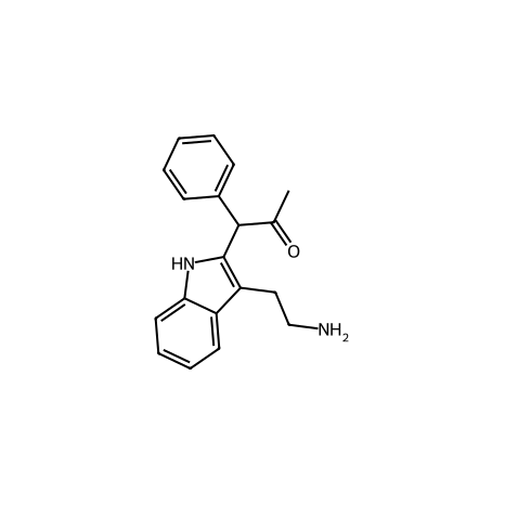 CC(=O)C(c1ccccc1)c1[nH]c2ccccc2c1CCN